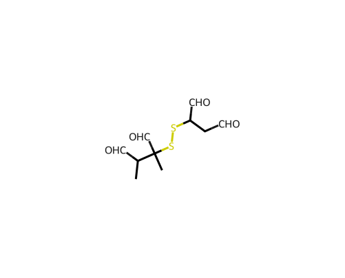 CC(C=O)C(C)(C=O)SSC(C=O)CC=O